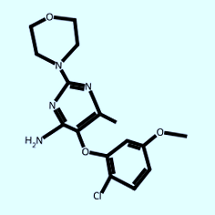 COc1ccc(Cl)c(Oc2c(C)nc(N3CCOCC3)nc2N)c1